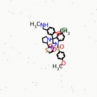 CNCc1ccc(OC)c(C2(N3CCCC3c3nccs3)C(=O)N(S(=O)(=O)c3ccc(OC)cc3)c3ccc(Cl)cc32)c1